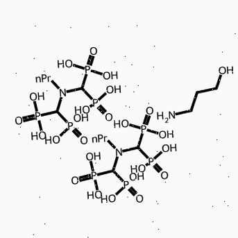 CCCN(C(P(=O)(O)O)P(=O)(O)O)C(P(=O)(O)O)P(=O)(O)O.CCCN(C(P(=O)(O)O)P(=O)(O)O)C(P(=O)(O)O)P(=O)(O)O.NCCCO